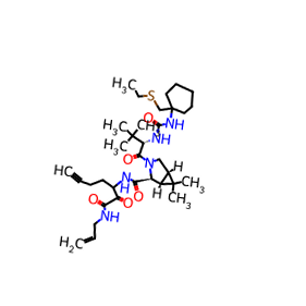 C#CCCC(NC(=O)[C@@H]1[C@@H]2[C@H](CN1C(=O)[C@@H](NC(=O)NC1(CSCC)CCCCC1)C(C)(C)C)C2(C)C)C(=O)C(=O)NCC=C